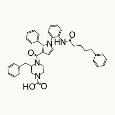 O=C(CCCCc1ccccc1)Nc1ccccc1-n1ccc(C(=O)N2CCN(C(=O)O)CC2Cc2ccccc2)c1-c1ccccc1